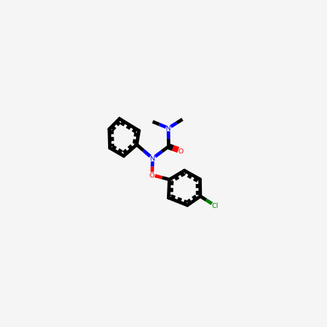 CN(C)C(=O)N(Oc1ccc(Cl)cc1)c1ccccc1